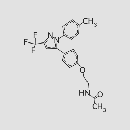 CC(=O)NCCOc1ccc(-c2cc(C(F)(F)F)nn2-c2ccc(C)cc2)cc1